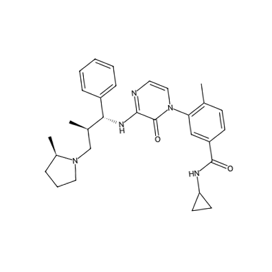 Cc1ccc(C(=O)NC2CC2)cc1-n1ccnc(N[C@@H](c2ccccc2)[C@H](C)CN2CCC[C@H]2C)c1=O